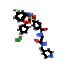 Cl.O=C(CNC(=O)c1ccc(S(=O)(=O)Nc2cc(F)ccc2Oc2ccc(F)cc2)cc1)NCC1CCNCC1